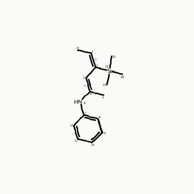 C/C=C(\C=C(/C)Nc1ccccc1)[Si](C)(C)C